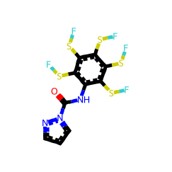 O=C(Nc1c(SF)c(SF)c(SF)c(SF)c1SF)n1cccn1